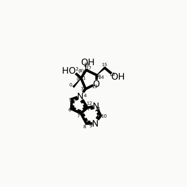 C[C@]1(O)C(n2ccc3cncnc32)O[C@H](CO)[C@H]1O